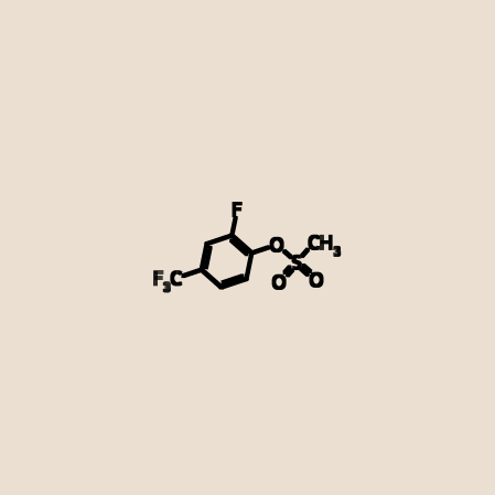 CS(=O)(=O)Oc1ccc(C(F)(F)F)cc1F